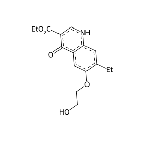 CCOC(=O)c1c[nH]c2cc(CC)c(OCCO)cc2c1=O